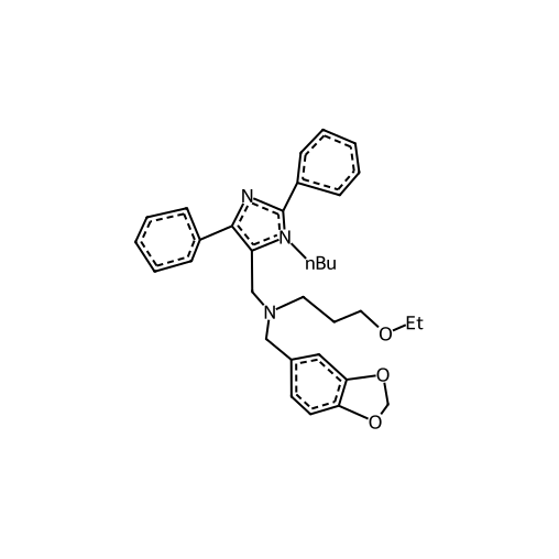 CCCCn1c(-c2ccccc2)nc(-c2ccccc2)c1CN(CCCOCC)Cc1ccc2c(c1)OCO2